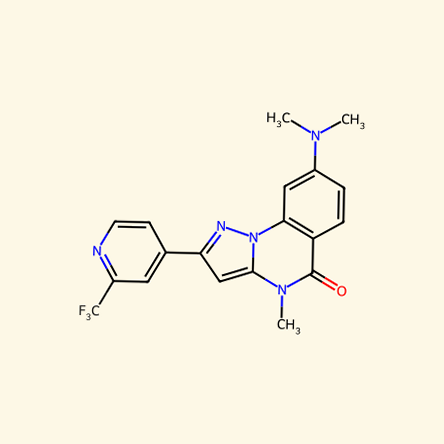 CN(C)c1ccc2c(=O)n(C)c3cc(-c4ccnc(C(F)(F)F)c4)nn3c2c1